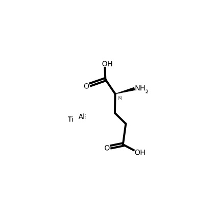 N[C@@H](CCC(=O)O)C(=O)O.[Al].[Ti]